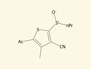 CCC[S+]([O-])c1sc(C(C)=O)c(C)c1C#N